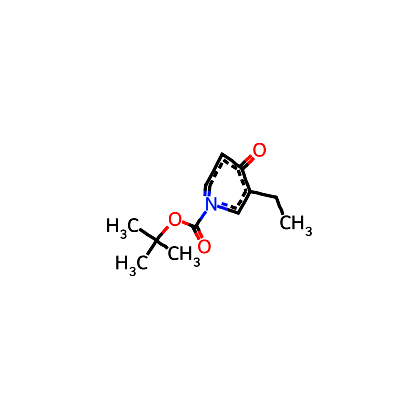 CCc1cn(C(=O)OC(C)(C)C)ccc1=O